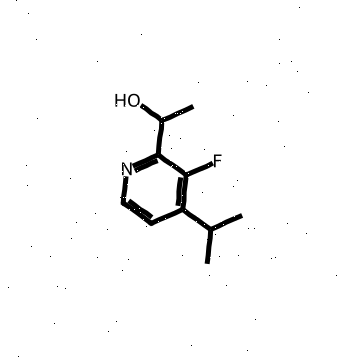 CC(C)c1ccnc(C(C)O)c1F